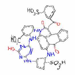 O=C(O)c1ccccc1Nc1nc(O)nc(Nc2ccc(S(=O)(=O)O)c(Nc3ccc4[nH]c(=O)c(C(=O)c5cccc(S(=O)(=O)O)c5)c5c4c3C(=O)c3ccccc3-5)c2)n1